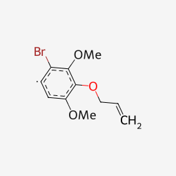 C=CCOc1c(OC)c[c]c(Br)c1OC